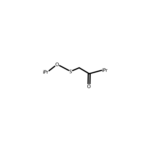 CC(C)OSCC(=O)C(C)C